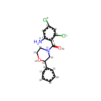 Nc1cc(Cl)cc(Cl)c1C(=O)N1CCOC(c2ccccc2)C1